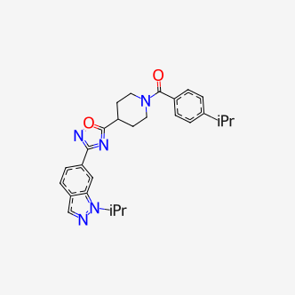 CC(C)c1ccc(C(=O)N2CCC(c3nc(-c4ccc5cnn(C(C)C)c5c4)no3)CC2)cc1